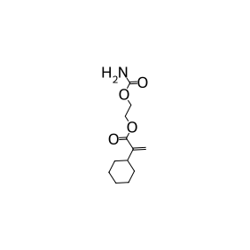 C=C(C(=O)OCCOC(N)=O)C1CCCCC1